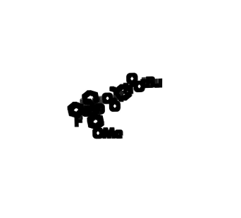 COc1ccc(S(=O)(=O)N2[C@@H](COC(=O)N3CCN(C(=O)OC(C)(C)C)CC3C)CCC[C@H]2c2cccc(F)c2)cc1